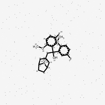 COc1ccc(F)cc1C(O)(CC1CC2CCC(C1)N2C)c1cc(F)ccc1OC